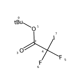 CC(C)(C)OC(=O)C(F)(F)I